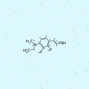 CCN(C)c1ccc(/C=C/S)c(F)c1F